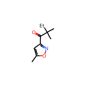 CCC(C)(C)C(=O)c1cc(C)on1